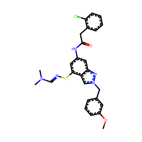 COc1cccc(Cn2cc3c(S/N=C/N(C)C)cc(NC(=O)Cc4ccccc4Cl)cc3n2)c1